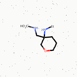 CCNC1(CNC(=O)O)CCCOC1